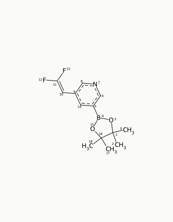 CC1(C)OB(c2cncc(C=C(F)F)c2)OC1(C)C